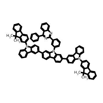 CC1(C)c2ccccc2-c2ccc(-n3c4ccccc4c4cc(-c5ccc6c7ccc(-c8ccc9c(c8)c8ccccc8n9-c8ccc9c(c8)C(C)(C)c8ccccc8-9)cc7n(-c7cccc(-c8nc(-c9ccccc9)c9ccccc9n8)c7)c6c5)ccc43)cc21